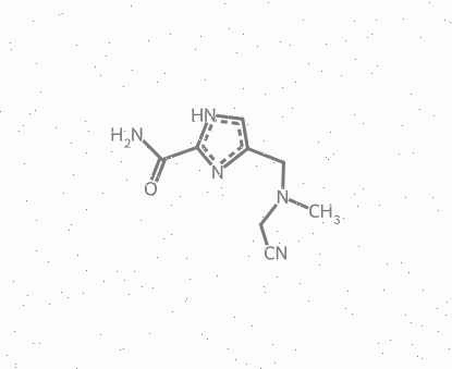 CN(CC#N)Cc1c[nH]c(C(N)=O)n1